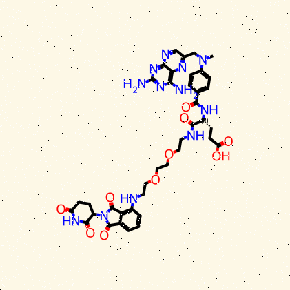 CN(Cc1cnc2nc(N)nc(N)c2n1)c1ccc(C(=O)N[C@H](CCC(=O)O)C(=O)NCCOCCOCCNc2cccc3c2C(=O)N(C2CCC(=O)NC2=O)C3=O)cc1